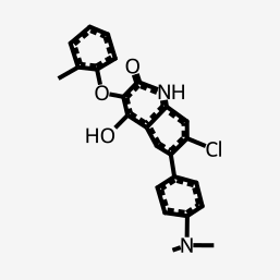 Cc1ccccc1Oc1c(O)c2cc(-c3ccc(N(C)C)cc3)c(Cl)cc2[nH]c1=O